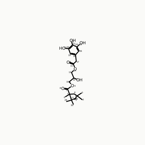 CC(C)(C)CC(C)(C(=O)OCC(O)COC(=O)Cc1cc(O)c(O)c(O)c1)C(C)(C)C